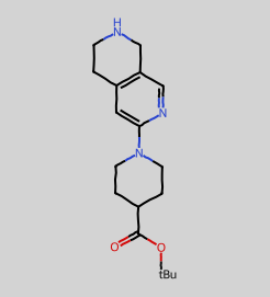 CC(C)(C)OC(=O)C1CCN(c2cc3c(cn2)CNCC3)CC1